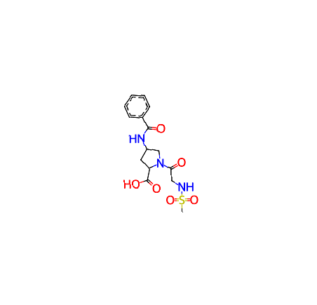 CS(=O)(=O)NCC(=O)N1CC(NC(=O)c2ccccc2)CC1C(=O)O